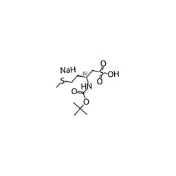 CSCC[C@@H](CS(=O)(=O)O)NC(=O)OC(C)(C)C.[NaH]